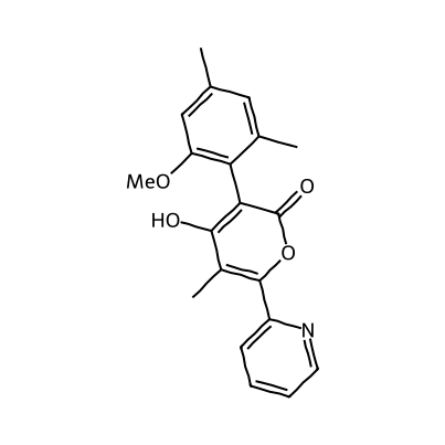 COc1cc(C)cc(C)c1-c1c(O)c(C)c(-c2ccccn2)oc1=O